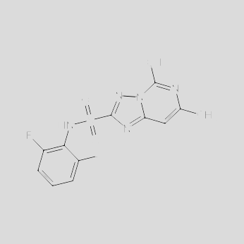 Cc1cc2nc(S(=O)(=O)Nc3c(F)cccc3F)nn2c(C)n1